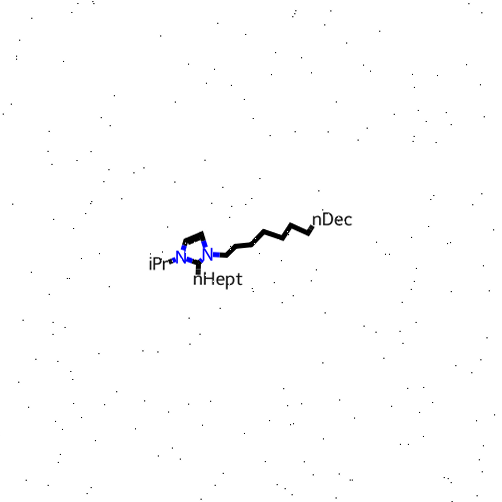 CCCCCCCCCCCCCCCCCN1C=CN(C(C)C)C1CCCCCCC